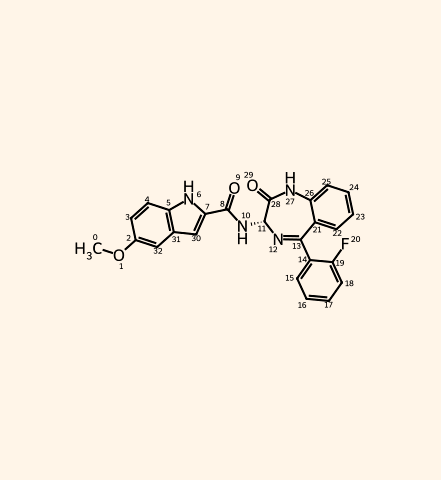 COc1ccc2[nH]c(C(=O)N[C@H]3N=C(c4ccccc4F)c4ccccc4NC3=O)cc2c1